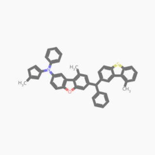 CC1=CC(N(c2ccccc2)c2ccc3oc4cc(C(c5ccccc5)c5ccc6sc7cccc(C)c7c6c5)cc(C)c4c3c2)=CC1